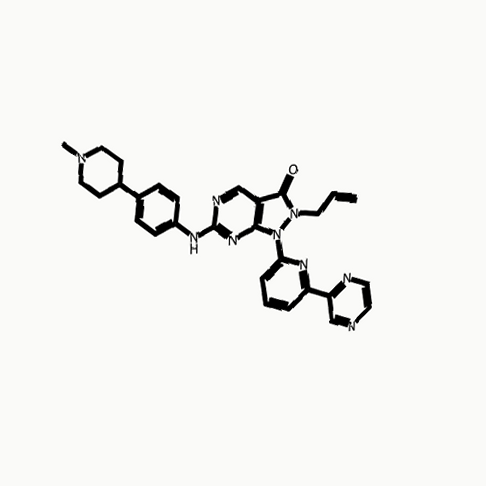 C=CCn1c(=O)c2cnc(Nc3ccc(C4CCN(C)CC4)cc3)nc2n1-c1cccc(-c2cnccn2)n1